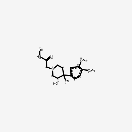 COc1ccc(C2(C#N)CCN(CC(=O)NO)CC2)cc1OC.Cl